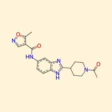 CC(=O)N1CCC(c2nc3cc(NC(=O)c4cnoc4C)ccc3[nH]2)CC1